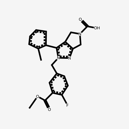 COC(=O)c1cc(Cn2nc3c(c2-c2ccccc2C)CN(C(=O)O)C3)ccc1F